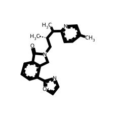 Cc1ccc(C(C)[C@@H](C)CN2Cc3c(cccc3-c3ncco3)C2=O)nc1